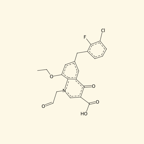 CCOc1cc(Cc2cccc(Cl)c2F)cc2c(=O)c(C(=O)O)cn(CC=O)c12